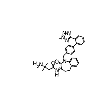 Cn1nnc(-c2ccccc2-c2ccc(CN3C(=O)[C@H](NC(=O)CC(C)(C)N)CCc4ccccc43)cc2)n1